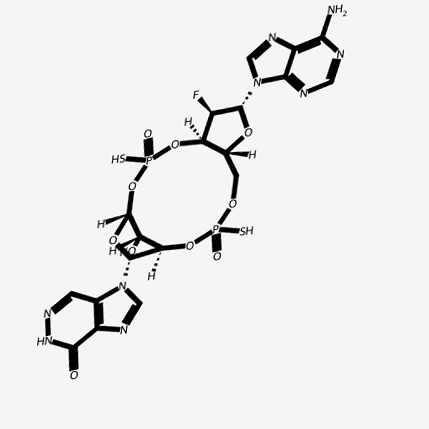 Nc1ncnc2c1ncn2[C@@H]1O[C@@H]2COP(=O)(S)O[C@@H]3[C@H](O)[C@H](O[C@H]3n3cnc4c(=O)[nH]ncc43)OP(=O)(S)O[C@H]2[C@H]1F